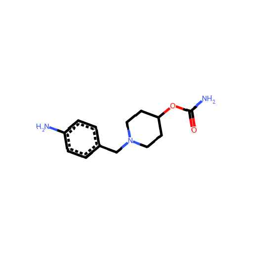 NC(=O)OC1CCN(Cc2ccc(N)cc2)CC1